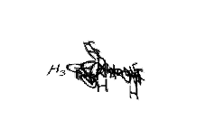 CC(C)c1nocc1C(=O)N[C@H](c1cn2ncc(CN3C[C@@H](C(F)(F)F)NC3=O)cc2n1)C1CCC(F)(F)CC1